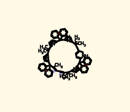 C/C1=C\C=C(/C)C(c2ccccc2)(c2ccccc2)c2ccc([nH]2)C(C)(C)c2ccc([nH]2)C(c2ccccc2)(c2ccccc2)c2ccc([nH]2)C(C)(C)C2=CC=C(NC2)C(c2ccccc2)(c2ccccc2)c2ccc([nH]2)C1(C)C